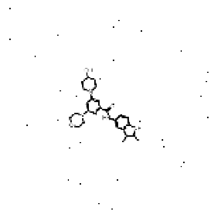 CC1Nc2ccc(NC(=O)c3cc(N4CCC(O)CC4)cc(N4CCOCC4)n3)cc2C1C